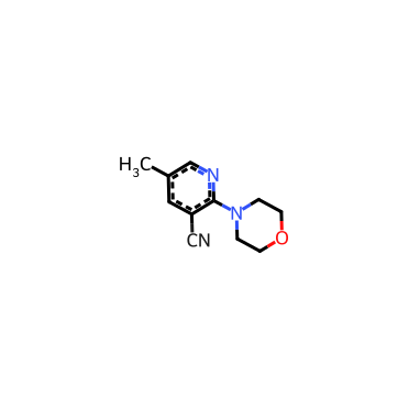 Cc1cnc(N2CCOCC2)c(C#N)c1